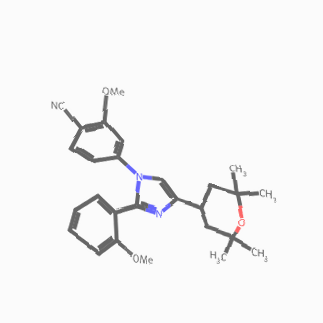 COc1cc(-n2cc(C3CC(C)(C)OC(C)(C)C3)nc2-c2ccccc2OC)ccc1C#N